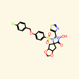 O=C(NO)C1(N(Cc2cscn2)S(=O)(=O)c2ccc(OCc3ccc(F)cc3)cc2)CC2OCOC2C1